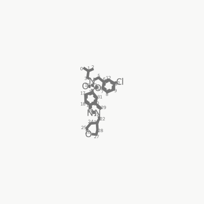 CC(C)CN(Cc1cccc(Cl)c1)S(=O)(=O)c1ccc2nn(CC3CCOCC3)cc2c1